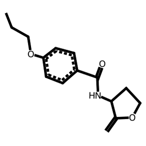 C=C1OCCC1NC(=O)c1ccc(OCCC)cc1